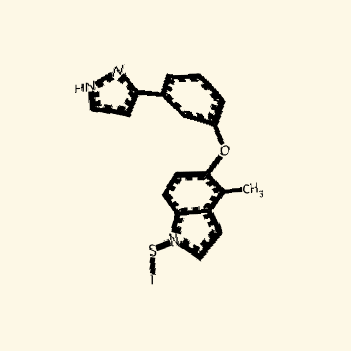 Cc1c(Oc2cccc(-c3cc[nH]n3)c2)ccc2c1ccn2SI